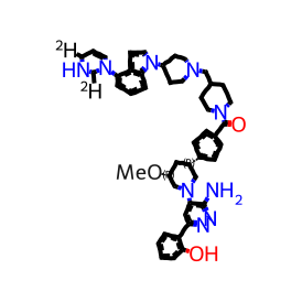 [2H]C1C=CN(c2cccc3c2ccn3C2CCN(CC3CCN(C(=O)c4ccc([C@H]5C[C@@H](OC)CN(c6cc(-c7ccccc7O)nnc6N)C5)cc4)CC3)CC2)C([2H])N1